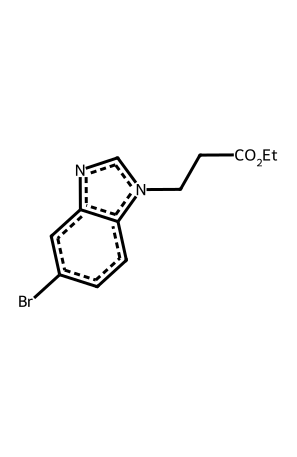 CCOC(=O)CCn1cnc2cc(Br)ccc21